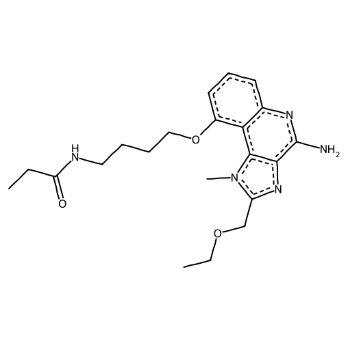 CCOCc1nc2c(N)nc3cccc(OCCCCNC(=O)CC)c3c2n1C